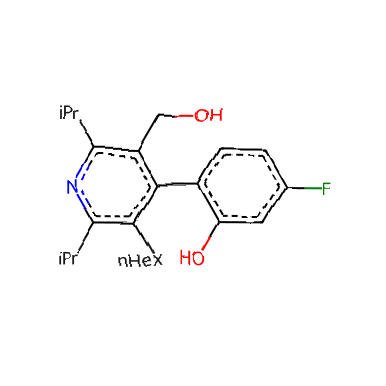 CCCCCCc1c(C(C)C)nc(C(C)C)c(CO)c1-c1ccc(F)cc1O